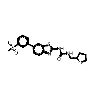 CS(=O)(=O)c1cccc(-c2ccc3nc(NC(=O)NCC4CCCO4)sc3c2)c1